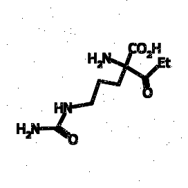 CCC(=O)C(N)(CCCNC(N)=O)C(=O)O